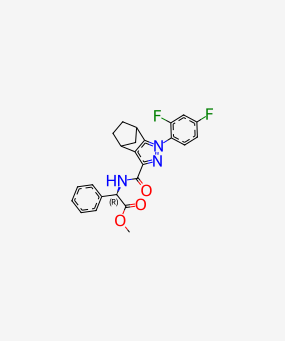 COC(=O)[C@H](NC(=O)c1nn(-c2ccc(F)cc2F)c2c1C1CCC2C1)c1ccccc1